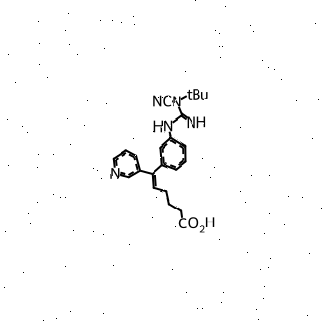 CC(C)(C)N(C#N)C(=N)Nc1cccc(/C(=C\CCCC(=O)O)c2cccnc2)c1